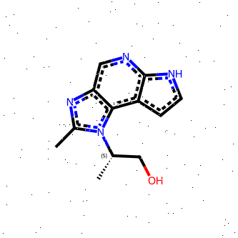 Cc1nc2cnc3[nH]ccc3c2n1[C@@H](C)CO